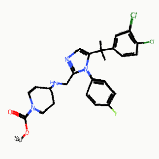 CC(C)(C)OC(=O)N1CCC(NCc2ncc(C(C)(C)c3ccc(Cl)c(Cl)c3)n2-c2ccc(F)cc2)CC1